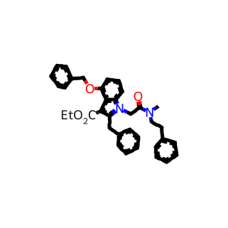 CCOC(=O)c1c(Cc2ccccc2)n(CC(=O)N(C)CCc2ccccc2)c2cccc(OCc3ccccc3)c12